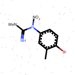 CNC(=N)N(c1ccc(Br)c(C)c1)[N+](=O)[O-]